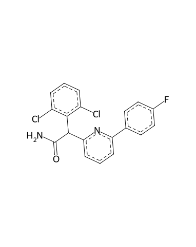 NC(=O)C(c1cccc(-c2ccc(F)cc2)n1)c1c(Cl)cccc1Cl